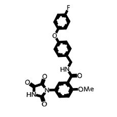 COc1ccc(N2C(=O)NC(=O)C2=O)cc1C(=O)NCc1ccc(Oc2ccc(F)cc2)cc1